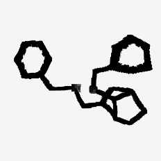 c1ccc(CNCC2CC3CCC2C3OCc2ccccc2)cc1